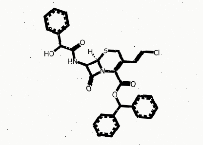 O=C(OC(c1ccccc1)c1ccccc1)C1=C(/C=C/Cl)CS[C@@H]2C(NC(=O)C(O)c3ccccc3)C(=O)N12